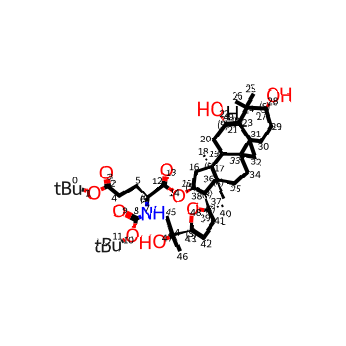 CC(C)(C)OC(=O)CC[C@H](NC(=O)OC(C)(C)C)C(=O)O[C@H]1C[C@@]2(C)C3C[C@H](O)[C@H]4C(C)(C)[C@@H](O)CCC45CC35CC[C@]2(C)[C@H]1[C@@]1(C)CC[C@@H](C(C)(C)O)O1